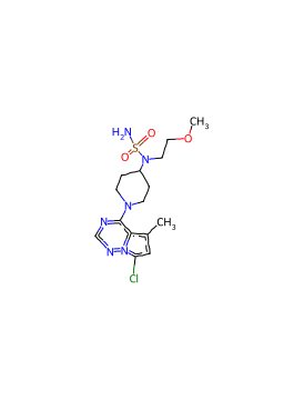 COCCN(C1CCN(c2ncnn3c(Cl)cc(C)c23)CC1)S(N)(=O)=O